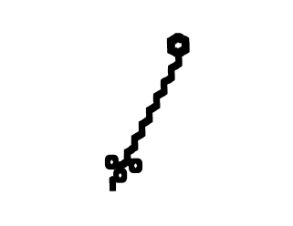 CCOC(=O)C(=O)CCCCCCCCCCCCCCc1ccccc1